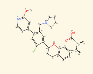 COc1cc(-c2cc(F)c(C3CCc4ccc([C@H](C)[C@H](C)C(=O)O)cc4O3)cc2CN2CCCC2)ccn1